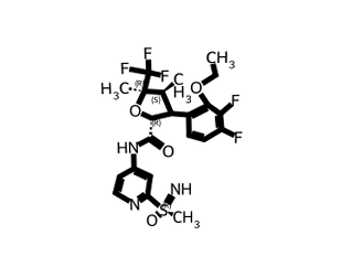 CCOc1c(C2[C@H](C(=O)Nc3ccnc([S@](C)(=N)=O)c3)O[C@@](C)(C(F)(F)F)[C@H]2C)ccc(F)c1F